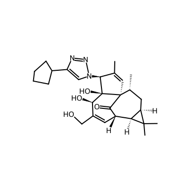 CC1=C[C@]23C(=O)[C@@H](C=C(CO)[C@@H](O)[C@]2(O)[C@H]1n1cc(C2CCCC2)nn1)[C@H]1[C@@H](C[C@H]3C)C1(C)C